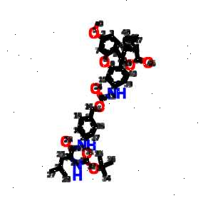 COc1ccc2c(c1)Oc1cc(NC(=O)OCc3ccc(NC(=O)[C@H](CC(C)C)NC(=O)OC(C)(C)C)cc3)ccc1C21OC(=O)c2ccccc21